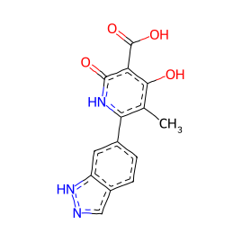 Cc1c(-c2ccc3cn[nH]c3c2)[nH]c(=O)c(C(=O)O)c1O